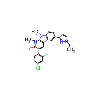 CCn1ccc(-c2ccc3c(c2)c2cc(-c4ccc(Cl)cc4F)c(=O)n(C)c2n3C)n1